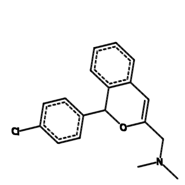 CN(C)CC1=Cc2ccccc2C(c2ccc(Cl)cc2)O1